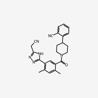 Cc1cc(C)c(-c2nnc(CC#N)[nH]2)cc1C(=O)N1CCC(c2ccccc2C#N)CC1